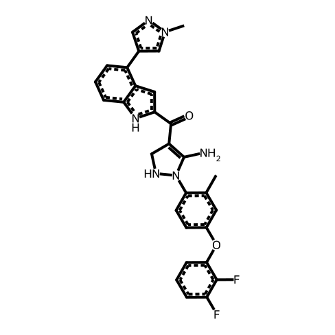 Cc1cc(Oc2cccc(F)c2F)ccc1N1NCC(C(=O)c2cc3c(-c4cnn(C)c4)cccc3[nH]2)=C1N